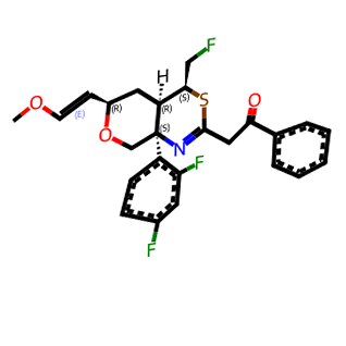 CO/C=C/[C@H]1C[C@H]2[C@@H](CF)SC(CC(=O)c3ccccc3)=N[C@@]2(c2ccc(F)cc2F)CO1